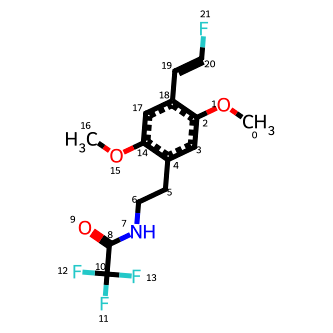 COc1cc(CCNC(=O)C(F)(F)F)c(OC)cc1/C=C/F